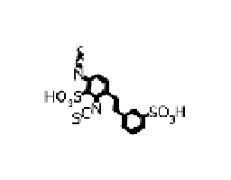 O=S(=O)(O)c1cccc(C=Cc2ccc(N=C=S)c(S(=O)(=O)O)c2N=C=S)c1